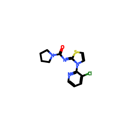 O=C(/N=c1\sccn1-c1ncccc1Cl)N1CCCC1